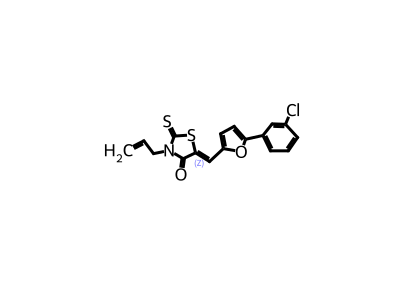 C=CCN1C(=O)/C(=C/c2ccc(-c3cccc(Cl)c3)o2)SC1=S